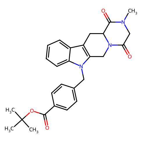 CN1CC(=O)N2Cc3c(c4ccccc4n3Cc3ccc(C(=O)OC(C)(C)C)cc3)CC2C1=O